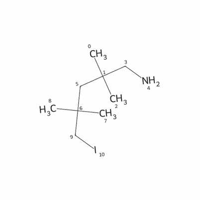 CC(C)(CN)CC(C)(C)CI